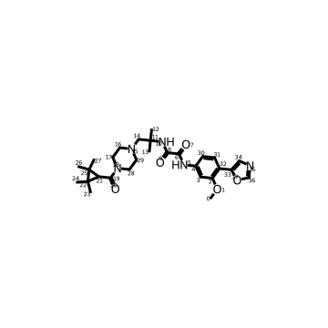 COc1cc(NC(=O)C(=O)NC(C)(C)CN2CCN(C(=O)C3C(C)(C)C3(C)C)CC2)ccc1-c1cnco1